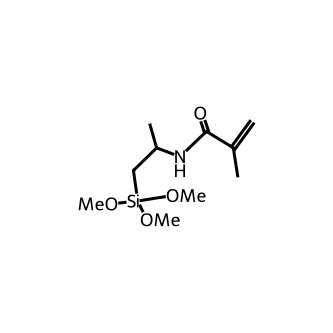 C=C(C)C(=O)NC(C)C[Si](OC)(OC)OC